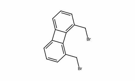 BrCc1cccc2c1-c1c(CBr)cccc1-2